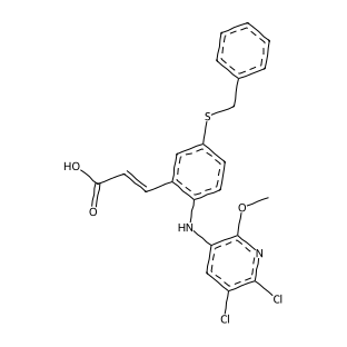 COc1nc(Cl)c(Cl)cc1Nc1ccc(SCc2ccccc2)cc1/C=C/C(=O)O